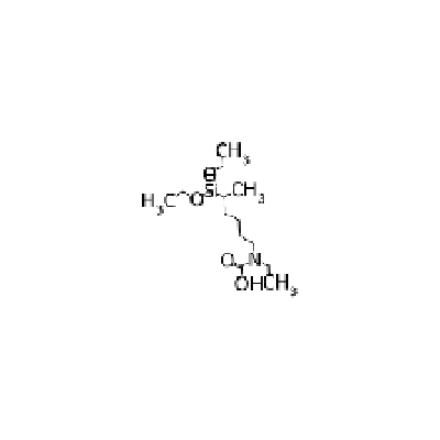 CCO[SiH](OCC)C(C)CCCCN(CC)C(=O)O